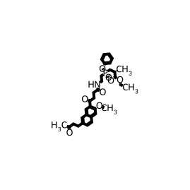 CCOC(=O)[C@@H](C)CP(=O)(CCNC(=O)CCC(=O)c1cc2cc(CCC(C)=O)ccc2cc1OC)Oc1ccccc1